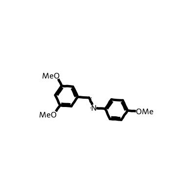 COc1ccc([N][CH]c2cc(OC)cc(OC)c2)cc1